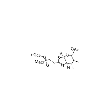 CCCCCCCCOP(=O)(CCC1=N[C@@H]2[C@@H](C)[C@H](C)[C@@H](COC(C)=O)O[C@@H]2S1)OC